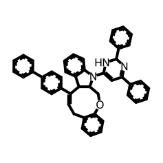 C1=C(N2c3ccccc3C3/C(c4ccc(-c5ccccc5)cc4)=C\Cc4ccccc4OCC32)NC(c2ccccc2)N=C1c1ccccc1